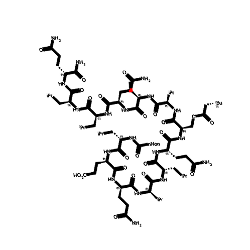 CCCCCCCCCC(=O)N[C@@H](CC(C)C)C(=O)N[C@H](CCC(=O)O)C(=O)N[C@H](CCC(N)=O)C(=O)N[C@@H](C(=O)N[C@@H](CC(C)C)C(=O)N[C@@H](CCC(N)=O)C(=O)N[C@H](COC(=O)C[C@@H](C)CC)C(=O)N[C@@H](C(=O)N[C@H](CC(C)C)C(=O)N[C@H](CCC(N)=O)C(=O)N[C@@H](CC(C)C)C(=O)N[C@@H](CC(C)C)C(=O)N[C@H](CCC(N)=O)C(N)=O)C(C)C)C(C)C